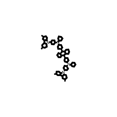 Cc1ccc2c(c1)c1cc(C)ccc1n2-c1ccc(N(c2ccccc2)c2ccc(-c3c4ccccc4c(-c4ccc(N(c5ccccc5)c5ccc(-n6c7ccc(C)cc7c7cc(C)ccc76)cc5)cc4)c4ccccc34)cc2)cc1